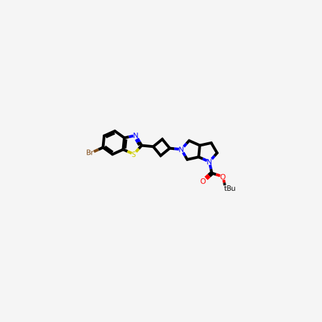 CC(C)(C)OC(=O)N1CCC2CN(C3CC(c4nc5ccc(Br)cc5s4)C3)CC21